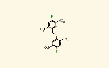 Cc1cc(F)c([N+](=O)[O-])cc1CSc1cc([N+](=O)[O-])c(F)cc1C